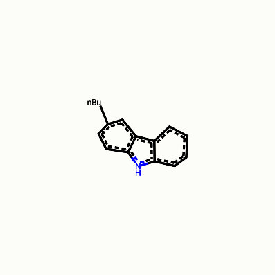 CCCCc1ccc2[nH]c3ccccc3c2c1